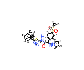 O=C(Nc1nnc(C23CC4CC(CC(C4)C2)C3)s1)/C(=N/N1CCCC1)c1ccc(S(=O)(=O)C2CC2)cc1